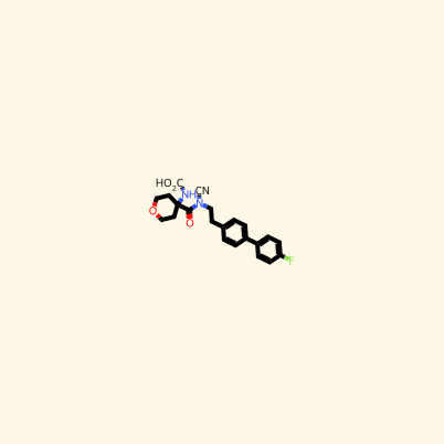 N#CN(CCc1ccc(-c2ccc(F)cc2)cc1)C(=O)C1(NC(=O)O)CCOCC1